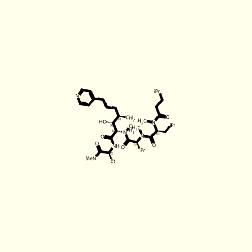 CC[C@H](NC(=O)[C@H]([C@H](O)[C@H](C)CCCc1ccncc1)N(C)C(=O)[C@H](C(C)C)N(C)C(=O)[C@H](CC(C)C)N(C)C(=O)CCC(C)C)C(=O)NC